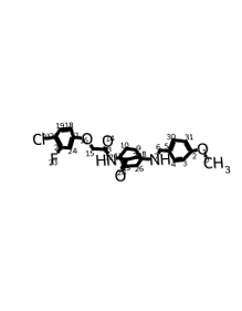 COc1ccc(CNC23CCC(NC(=O)COc4ccc(Cl)c(F)c4)(CC2)C(=O)C3)cc1